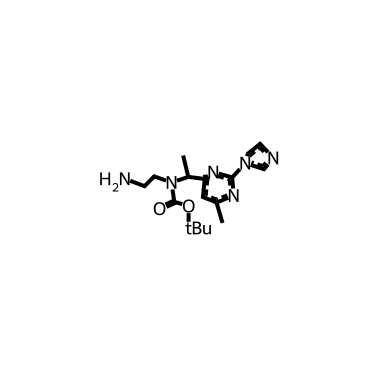 Cc1cc(C(C)N(CCN)C(=O)OC(C)(C)C)nc(-n2ccnc2)n1